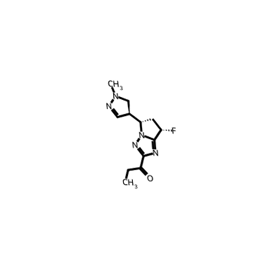 CCC(=O)c1nc2n(n1)[C@H]([C@H]1C=NN(C)C1)C[C@@H]2F